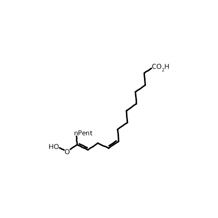 CCCCC/C(=C\C/C=C\CCCCCCCC(=O)O)OO